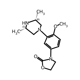 COc1ccc(N2CCOC2=O)cc1N1C[C@@H](C)N[C@@H](C)C1